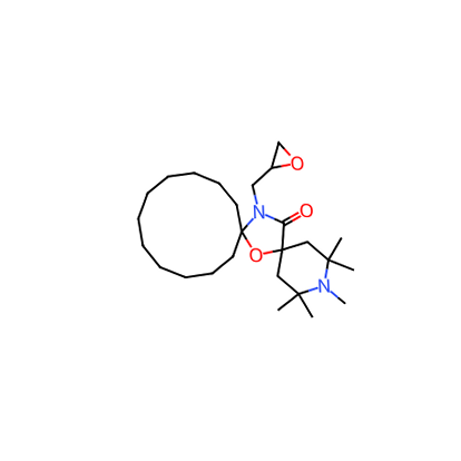 CN1C(C)(C)CC2(CC1(C)C)OC1(CCCCCCCCCCC1)N(CC1CO1)C2=O